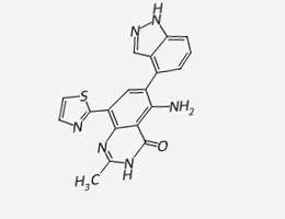 Cc1nc2c(-c3nccs3)cc(-c3cccc4[nH]ncc34)c(N)c2c(=O)[nH]1